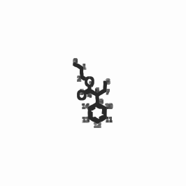 CCCOC(=O)C(CC)c1ccccc1